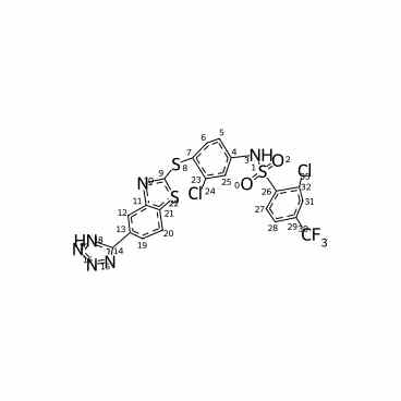 O=S(=O)(Nc1ccc(Sc2nc3cc(-c4nnn[nH]4)ccc3s2)c(Cl)c1)c1ccc(C(F)(F)F)cc1Cl